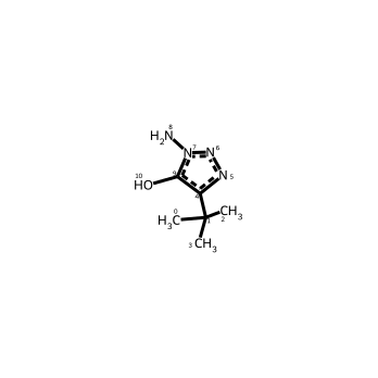 CC(C)(C)c1nnn(N)c1O